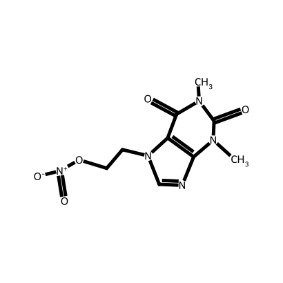 Cn1c(=O)c2c(ncn2CCO[N+](=O)[O-])n(C)c1=O